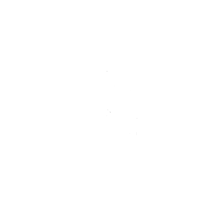 CCCc1nc(CC)sc1C=O